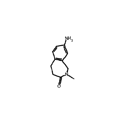 CN1Cc2cc(N)ccc2CCC1=O